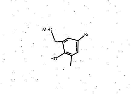 COCc1cc(Br)cc(C)c1O